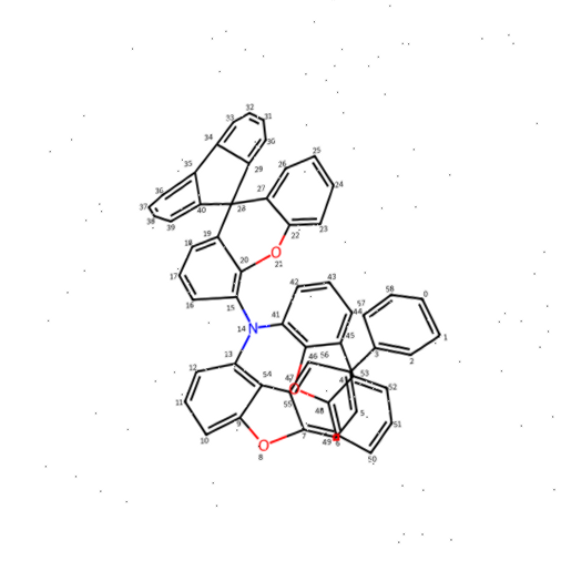 c1ccc(-c2ccc3oc4cccc(N(c5cccc6c5Oc5ccccc5C65c6ccccc6-c6ccccc65)c5cccc6c5oc5ccccc56)c4c3c2)cc1